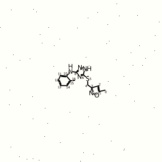 Cc1cc(CSc2nc(Nc3ccccc3C)n[nH]2)no1